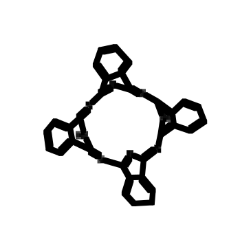 C1=C2C(=CCC1)c1nc2nc2[nH]c(nc3nc(nc4[nH]c(n1)c1ccccc41)-c1ccccc1-3)c1ccccc21